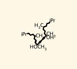 CC(C)CCCC(C)CC=CC(C)(O)C#CC#CC(C)(O)CCCC(C)CCCC(C)C